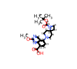 COc1ncc2c(N3CCC4(CC3)CCN4C(=O)OC(C)(C)C)ccc(C(=O)O)c2n1